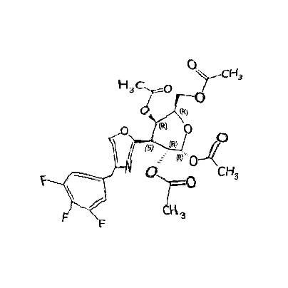 CC(=O)OC[C@H]1O[C@H](OC(C)=O)[C@H](OC(C)=O)[C@@H](c2nc(-c3cc(F)c(F)c(F)c3)co2)[C@H]1OC(C)=O